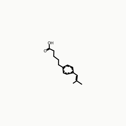 CC(C)=Cc1ccc(CCCCC(=O)O)cc1